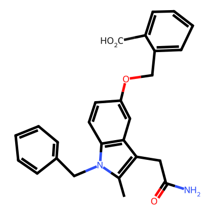 Cc1c(CC(N)=O)c2cc(OCc3ccccc3C(=O)O)ccc2n1Cc1ccccc1